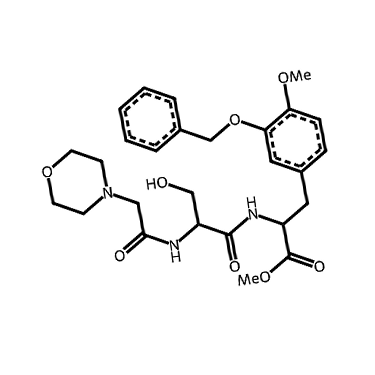 COC(=O)C(Cc1ccc(OC)c(OCc2ccccc2)c1)NC(=O)C(CO)NC(=O)CN1CCOCC1